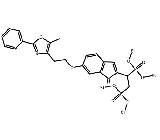 CCOP(=O)(CC(c1cc2ccc(OCCc3nc(-c4ccccc4)oc3C)cc2[nH]1)P(=O)(OCC)OCC)OCC